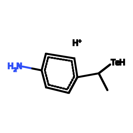 CC([TeH])c1ccc(N)cc1.[H+]